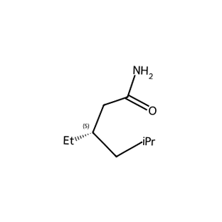 CC[C@H](CC(N)=O)CC(C)C